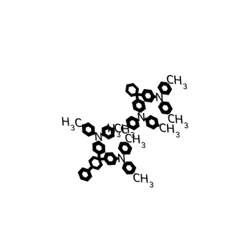 Cc1ccc(N(c2ccc(C)cc2)c2ccc(C3(c4ccc(N(c5ccc(C)cc5)c5ccc(C)cc5)cc4)CCC(c4ccccc4)CC3)cc2)cc1.Cc1ccc(N(c2ccc(C)cc2)c2ccc(C3(c4ccc(N(c5ccc(C)cc5)c5ccc(C)cc5)cc4)CCCCC3)cc2)cc1